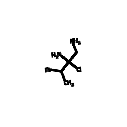 CCC(C)C(N)(Cl)CN